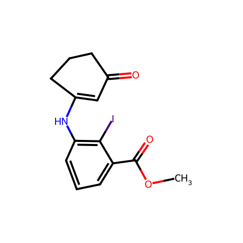 COC(=O)c1cccc(NC2=CC(=O)CCC2)c1I